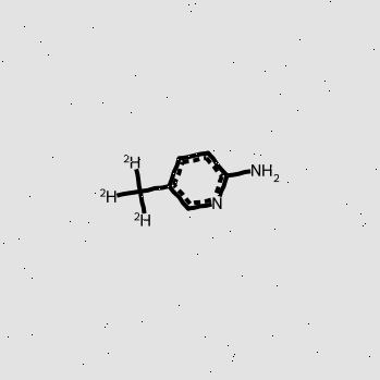 [2H]C([2H])([2H])c1ccc(N)nc1